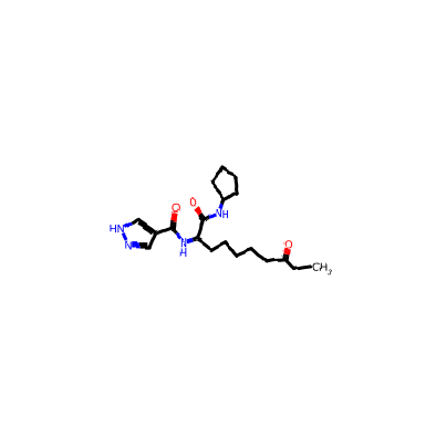 CCC(=O)CCCCCC(NC(=O)c1cn[nH]c1)C(=O)NC1CCCC1